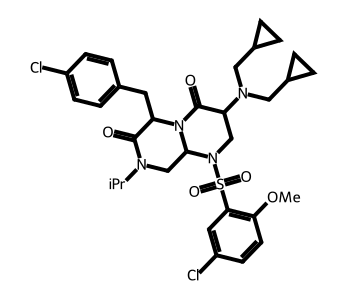 COc1ccc(Cl)cc1S(=O)(=O)N1CC(N(CC2CC2)CC2CC2)C(=O)N2C(Cc3ccc(Cl)cc3)C(=O)N(C(C)C)CC21